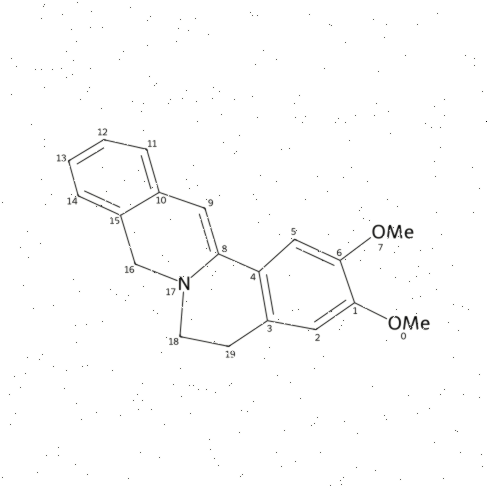 COc1cc2c(cc1OC)C1=Cc3ccccc3CN1CC2